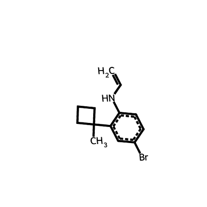 C=CNc1ccc(Br)cc1C1(C)CCC1